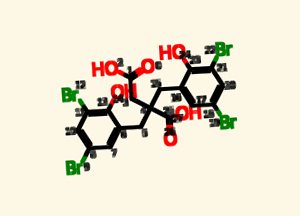 O=C(O)CC(Cc1cc(Br)cc(Br)c1O)(Cc1cc(Br)cc(Br)c1O)C(=O)O